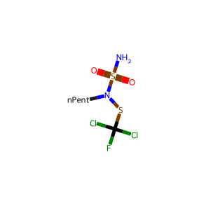 CCCCCN(SC(F)(Cl)Cl)S(N)(=O)=O